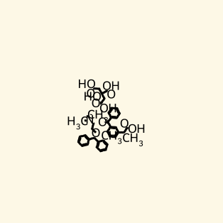 CC(C(=O)O)c1cccc(C(=O)c2ccccc2)c1.Cc1ccccc1C(OCCN(C)C)c1ccccc1.O=C(O)CC(O)(CC(=O)O)C(=O)O